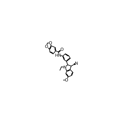 CCN1c2cc(OC)ccc2C(C#N)C1c1cccc(NC(=O)c2ccc3c(c2)OCO3)c1